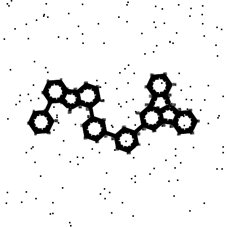 c1ccc(-c2cccc3c2sc2c(-c4cccc(-c5cccc(-c6cc7c8ccccc8n8c9ccccc9c(c6)c78)c5)c4)cccc23)cc1